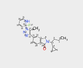 CCCC(C1CC1)N1Cc2cc(-c3nnn(C4(F)C=CC=CN4)c3C)ccc2C1=O